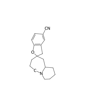 N#Cc1ccc2c(c1)CC1(CCCN3CCCCC3C1)O2